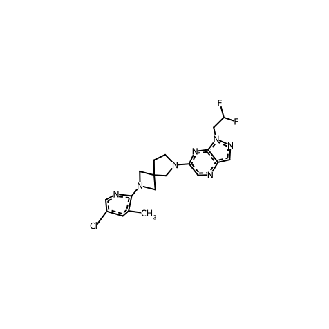 Cc1cc(Cl)cnc1N1CC2(CCN(c3cnc4cnn(CC(F)F)c4n3)C2)C1